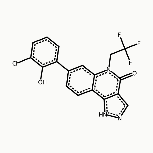 O=c1c2cn[nH]c2c2ccc(-c3cccc(Cl)c3O)cc2n1CC(F)(F)F